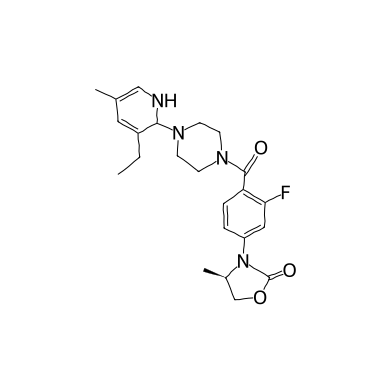 CCC1=CC(C)=CNC1N1CCN(C(=O)c2ccc(N3C(=O)OC[C@H]3C)cc2F)CC1